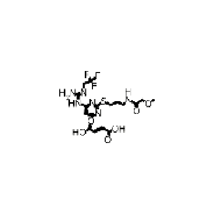 COCC(=O)NCCCSc1nccc(NC(N)=NCC(F)(F)F)n1.O=C(O)C=CC(=O)O